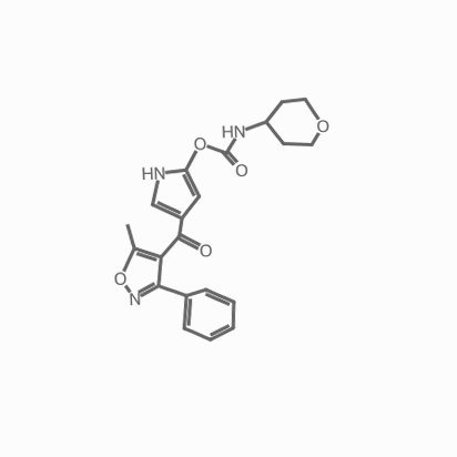 Cc1onc(-c2ccccc2)c1C(=O)c1c[nH]c(OC(=O)NC2CCOCC2)c1